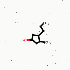 CCCC1CC(=O)CC1C